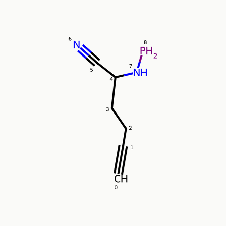 C#CCCC(C#N)NP